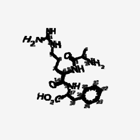 CC(N)C(=O)NC(CCCNC(=N)N)C(=O)NC(Cc1ccccc1)C(=O)O